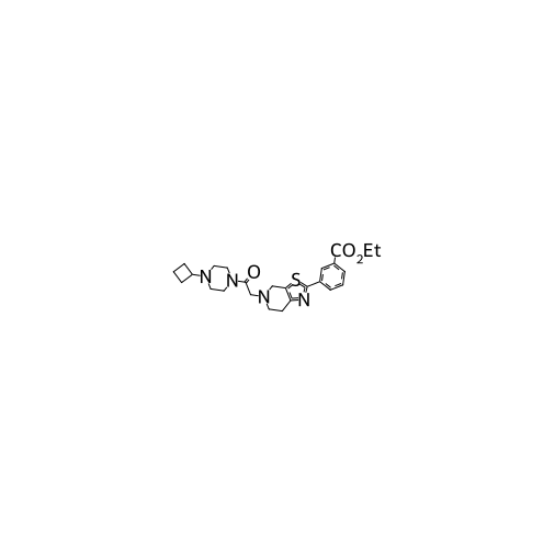 CCOC(=O)c1cccc(-c2nc3c(s2)CN(CC(=O)N2CCN(C4CCC4)CC2)CC3)c1